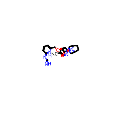 N#Cc1ccc(N2C3CCC2CN(C(=O)COCc2ccc/c(=N/C=N)[nH]2)C3)nc1